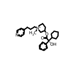 C[N+]1(CCCc2ccncc2)CCCC(OC(=O)[C@](O)(c2ccccc2)C2CCCCC2)C1